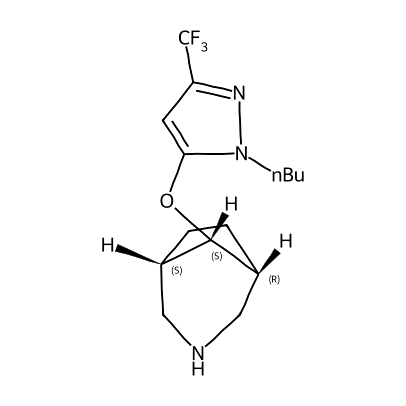 CCCCn1nc(C(F)(F)F)cc1O[C@@H]1[C@@H]2CC[C@H]1CNC2